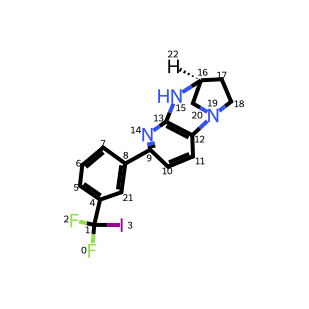 FC(F)(I)c1cccc(-c2ccc3c(n2)N[C@H]2CCN3C2)c1